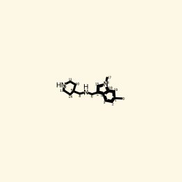 Cc1ccc2c(CNCC3CCNCC3)cn(C)c2c1